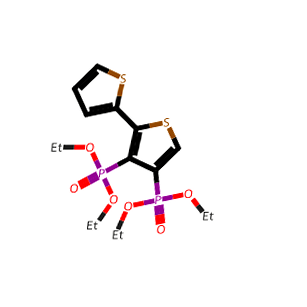 CCOP(=O)(OCC)c1csc(-c2cccs2)c1P(=O)(OCC)OCC